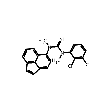 CN(C(=N)N(C)c1ccc2c3c(cccc13)C=C2)c1cccc(Cl)c1Cl